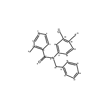 Cc1cnccc1C(=O)N(Cc1ccccc1)c1ccc(F)c(Cl)c1